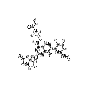 C=CC(=O)N1CC(CN(C)c2nc(OC[C@@]34CCCN3C[C@H](F)C4)nc3c(F)c(-c4nc(N)cc(C)c4C)ncc23)C1